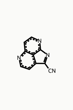 N#CC1=Nc2nccc3nccc1c23